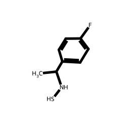 CC(NS)c1ccc(F)cc1